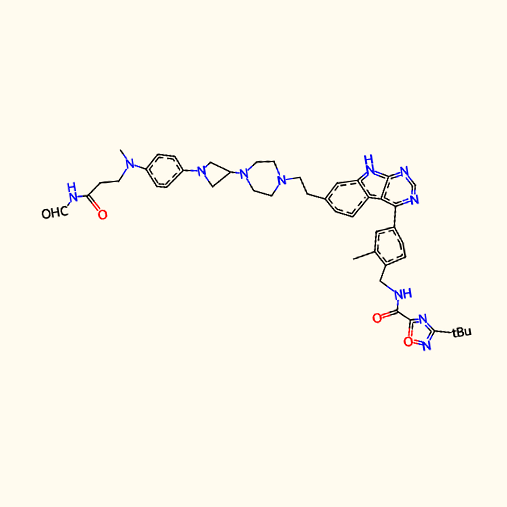 Cc1cc(-c2ncnc3[nH]c4cc(CCN5CCN(C6CN(c7ccc(N(C)CCC(=O)NC=O)cc7)C6)CC5)ccc4c23)ccc1CNC(=O)c1nc(C(C)(C)C)no1